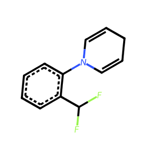 FC(F)c1ccccc1N1C=CCC=C1